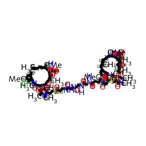 COc1cc2cc(c1Cl)N(C)C(=O)CC(OC(=O)C(C)N(C)C(=O)CCSC1CC(=O)N(CCCC(=O)NCC(=O)NCC(=O)NCC(=O)NCCC(=O)SCCC(=O)N(C)C(C)C(=O)OC3CC(=O)N(C)c4cc(cc(OC)c4Cl)C/C(C)=C/C=C/C(OC)C4(O)CC(OC(=O)N4)C(C)C4OC34C)C1=O)C1(C)CC(C)(O1)C1CC(O)(NC(=O)O1)C(OC)/C=C/C=C(\C)C2